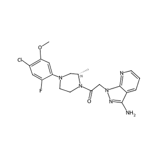 COc1cc(N2CCN(C(=O)Cn3nc(N)c4cccnc43)[C@@H](C)C2)c(F)cc1Cl